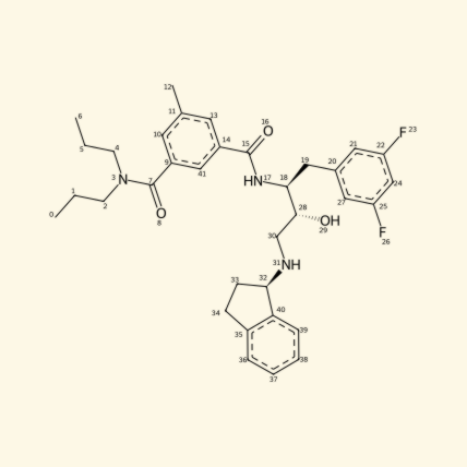 CCCN(CCC)C(=O)c1cc(C)cc(C(=O)N[C@@H](Cc2cc(F)cc(F)c2)[C@H](O)CN[C@@H]2CCc3ccccc32)c1